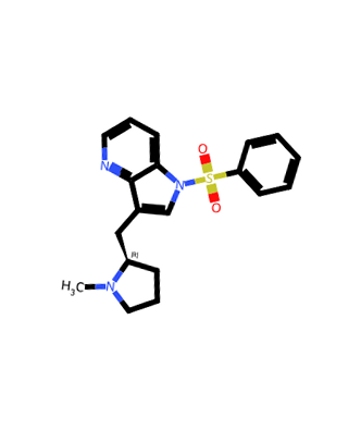 CN1CCC[C@@H]1Cc1cn(S(=O)(=O)c2ccccc2)c2cccnc12